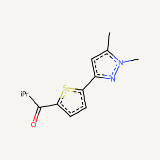 Cc1cc(-c2ccc(C(=O)C(C)C)s2)nn1C